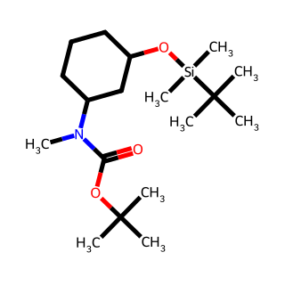 CN(C(=O)OC(C)(C)C)C1CCCC(O[Si](C)(C)C(C)(C)C)C1